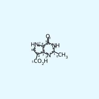 Cc1nc2c(C(=O)O)c[nH]c2c(=O)[nH]1